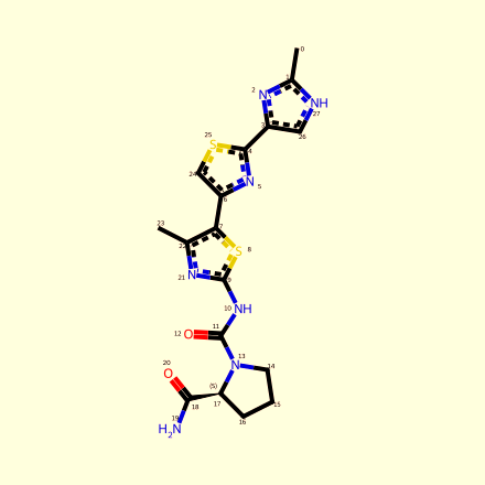 Cc1nc(-c2nc(-c3sc(NC(=O)N4CCC[C@H]4C(N)=O)nc3C)cs2)c[nH]1